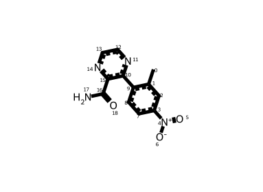 Cc1cc([N+](=O)[O-])ccc1-c1nccnc1C(N)=O